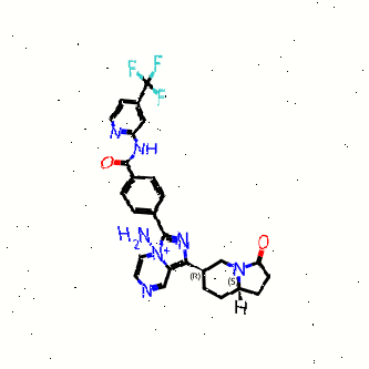 N[N+]12C=CN=CC1=C([C@@H]1CC[C@H]3CCC(=O)N3C1)N=C2c1ccc(C(=O)Nc2cc(C(F)(F)F)ccn2)cc1